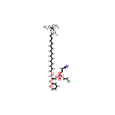 CC(C)(C)SCCCCCCCCCCCCCCCCOC[C@H](COP(=O)(OCCBr)OCCC#N)OC1CCCCO1